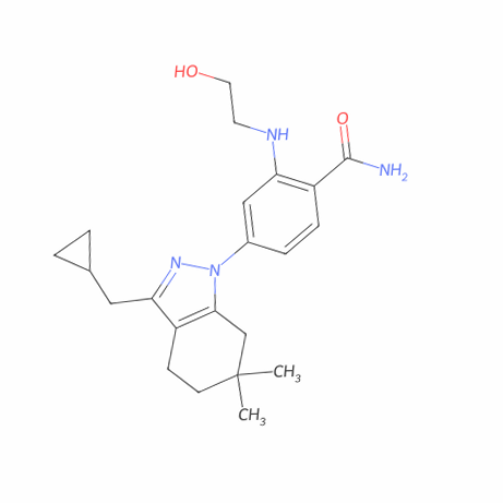 CC1(C)CCc2c(CC3CC3)nn(-c3ccc(C(N)=O)c(NCCO)c3)c2C1